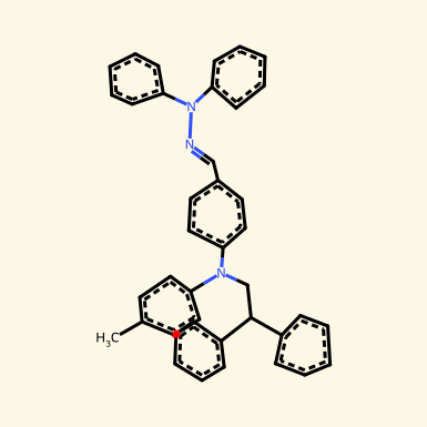 Cc1ccc(N(CC(c2ccccc2)c2ccccc2)c2ccc(/C=N/N(c3ccccc3)c3ccccc3)cc2)cc1